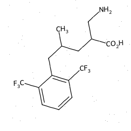 CC(Cc1c(C(F)(F)F)cccc1C(F)(F)F)CC(CN)C(=O)O